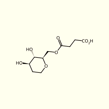 O=C(O)CCC(=O)OC[C@H]1OCC[C@@H](O)[C@@H]1O